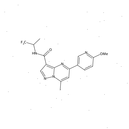 COc1ccc(-c2cc(C)n3ncc(C(=O)NC(C)C(F)(F)F)c3n2)cn1